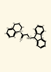 O=C(CNC1c2ccccc2-c2ccccc21)N1CCCc2ccccc21